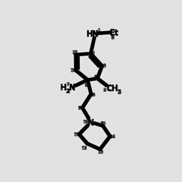 CCNC1=CC(C)C(N)(CCN2CCCCC2)C=C1